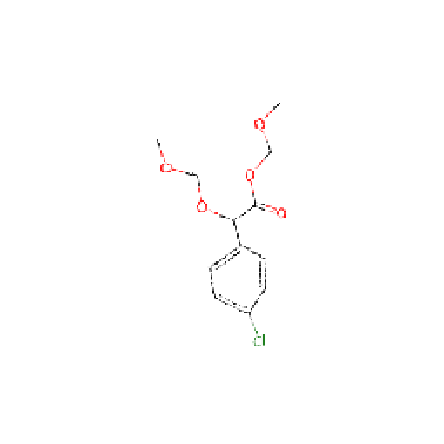 COCOC(=O)C(OCOC)c1ccc(Cl)cc1